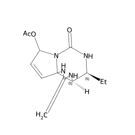 C=C1N[C@H]2[C@H](CC)NC(=O)N3C(OC(C)=O)C=CC23N1